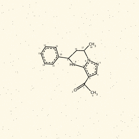 CC(=O)c1cnn2c1NC(c1ccccc1)CC2C